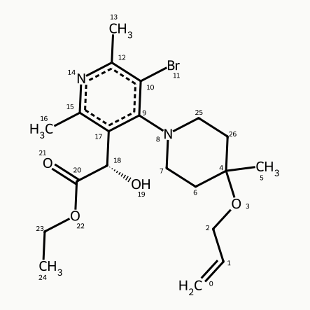 C=CCOC1(C)CCN(c2c(Br)c(C)nc(C)c2[C@H](O)C(=O)OCC)CC1